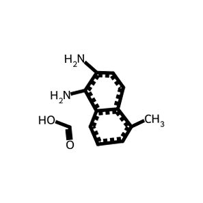 Cc1cccc2c(N)c(N)ccc12.O=CO